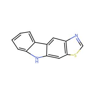 c1ccc2c(c1)[nH]c1cc3scnc3cc12